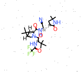 CC1(C)C[C@@H](C[C@@H](C#N)NC(=O)[C@@H]2[C@@H]3[C@H](CN2C(=O)[C@@H](NC(=O)C(F)(F)F)C(C)(C)C)C3(C)C)C(=O)N1